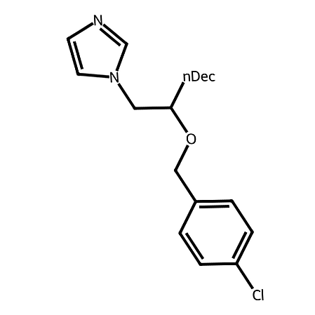 CCCCCCCCCCC(Cn1ccnc1)OCc1ccc(Cl)cc1